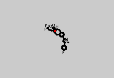 Cn1nc(-c2ccc3c(c2)CC2CC[C@@H](C3)C23CN(CC(F)(F)F)S(=O)(=O)N3)cc1-c1ccc(F)cc1